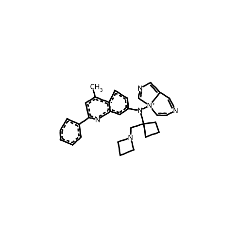 Cc1cc(-c2ccccc2)nc2cc(N(C3(CN4CCC4)CCC3)[N+]34C=CN=CC3=CN=C4)ccc12